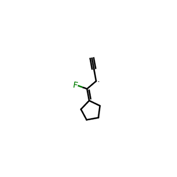 C#C[CH]C(F)=C1CCCC1